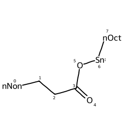 CCCCCCCCCCCC(=O)[O][Sn][CH2]CCCCCCC